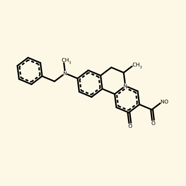 CC1Cc2cc(N(C)Cc3ccccc3)ccc2-c2cc(=O)c(C(=O)N=O)cn21